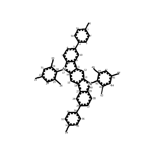 Cc1ccc(-c2ccc3c(c2)c2cc4c(cc2n3-c2c(C)cc(C)cc2C)c2cc(-c3ccc(C)cc3)ccc2n4-c2c(C)cc(C)cc2C)cc1